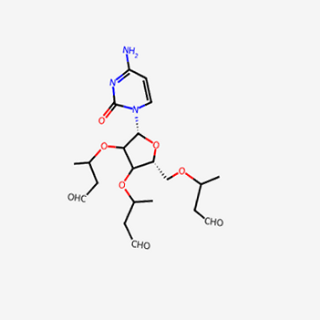 CC(CC=O)OC[C@H]1O[C@@H](n2ccc(N)nc2=O)C(OC(C)CC=O)C1OC(C)CC=O